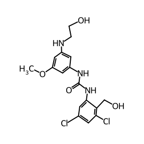 COc1cc(NCCO)cc(NC(=O)Nc2cc(Cl)cc(Cl)c2CO)c1